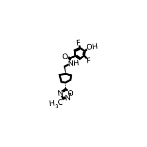 Cc1noc([C@H]2CC[C@H](CNC(=O)c3cc(F)c(O)c(F)c3)CC2)n1